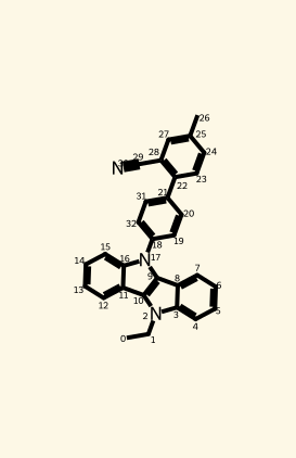 CCn1c2ccccc2c2c1c1ccccc1n2-c1ccc(-c2ccc(C)cc2C#N)cc1